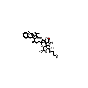 C=C(CCC12OC(C(=O)O)C(OCOCCOC)(C(=O)O)C(C(=O)O)(O1)C(OC)C2OCOCCOC)C(OC(C)=O)C(C)Cc1ccccc1